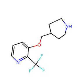 FC(F)(F)c1ncccc1OCC1CCNCC1